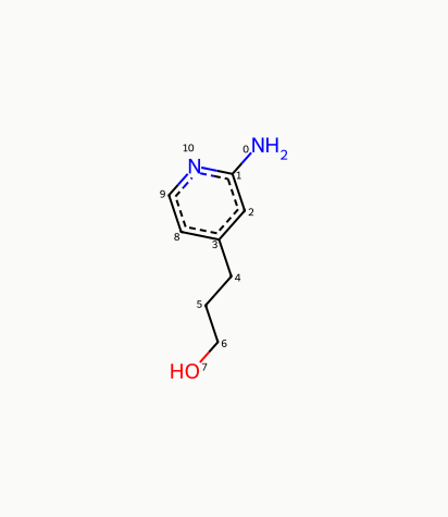 Nc1cc(CCCO)ccn1